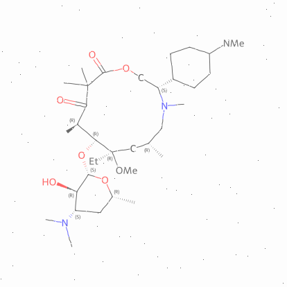 CC[C@@]1(OC)C[C@@H](C)CN(C)[C@@H](C2CCC(NC)CC2)COC(=O)C(C)(C)C(=O)[C@H](C)[C@H]1O[C@@H]1O[C@H](C)C[C@H](N(C)C)[C@H]1O